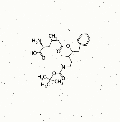 CC(CC(=O)OC(Cc1ccccc1)C1CCN(C(=O)OC(C)(C)C)CC1)C[C@H](N)C(=O)O